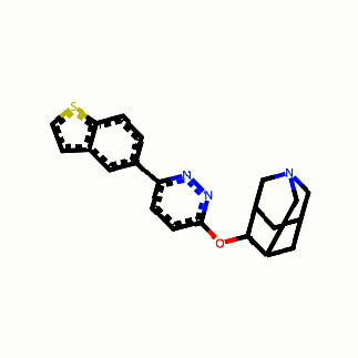 c1cc2cc(-c3ccc(OC4C5CC6CC4CN(C6)C5)nn3)ccc2s1